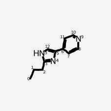 CCCc1nc(-c2ccncc2)c[nH]1